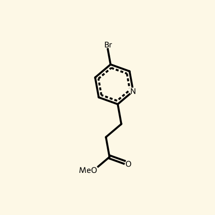 COC(=O)CCc1ccc(Br)cn1